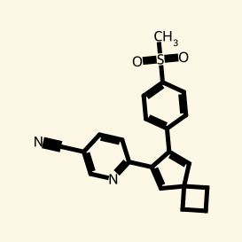 CS(=O)(=O)c1ccc(C2=CC3(C=C2c2ccc(C#N)cn2)CCC3)cc1